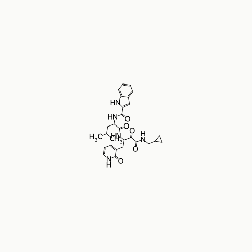 CC(C)CC(NC(=O)c1cc2ccccc2[nH]1)C(=O)NC(Cc1ccc[nH]c1=O)C(=O)C(=O)NCC1CC1